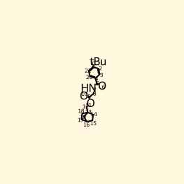 CC(C)(C)c1ccc(C(=O)NCC(=O)OCC23CCC(CC2)C3)cc1